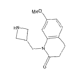 COc1ccc2c(c1)N(CC1CNC1)C(=O)CC2